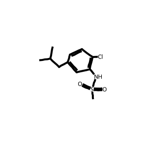 CC(C)Cc1ccc(Cl)c(NS(C)(=O)=O)c1